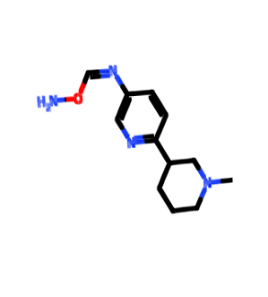 CN1CCCC(c2ccc(/N=C\ON)cn2)C1